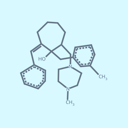 Cc1cccc(CC2(O)/C(=C\c3ccccc3)CCCCC2CN2CCN(C)CC2)c1